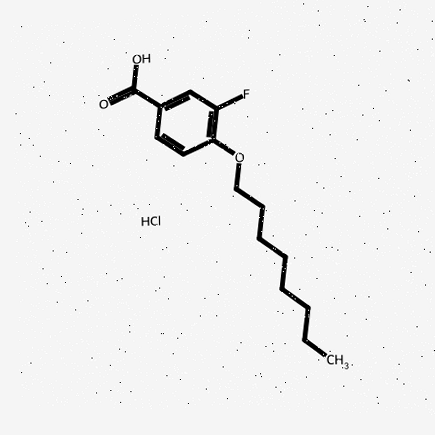 CCCCCCCCOc1ccc(C(=O)O)cc1F.Cl